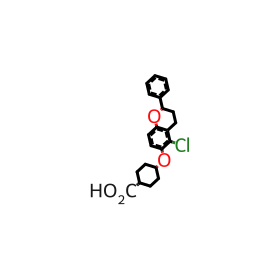 O=C(O)C1CCC(Oc2ccc3c(c2Cl)CCC(c2ccccc2)O3)CC1